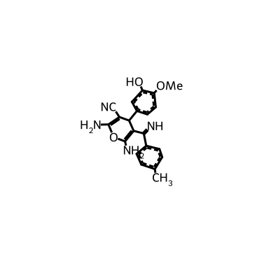 COc1ccc(C2C(C#N)=C(N)OC(N)=C2C(=N)c2ccc(C)cc2)cc1O